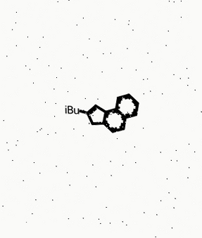 CCC(C)C1=Cc2c(ccc3ccccc23)[CH]1